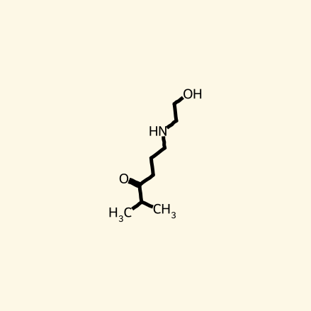 CC(C)C(=O)CCCNCCO